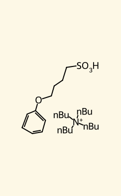 CCCC[N+](CCCC)(CCCC)CCCC.O=S(=O)(O)CCCCOc1ccccc1